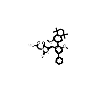 COc1cc2c(cc1-c1c(C=C3SC(=S)N(CC(=O)O)C3=O)cc(-c3ccccc3)cc1OC)C(C)(C)CCC2(C)C